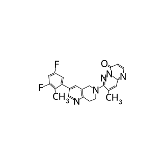 Cc1cc2nccc(=O)n2nc1N1CCc2ncc(-c3cc(F)cc(F)c3C)cc2C1